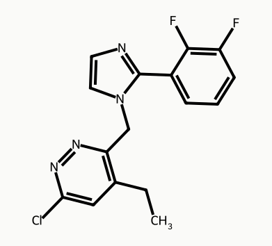 CCc1cc(Cl)nnc1Cn1ccnc1-c1cccc(F)c1F